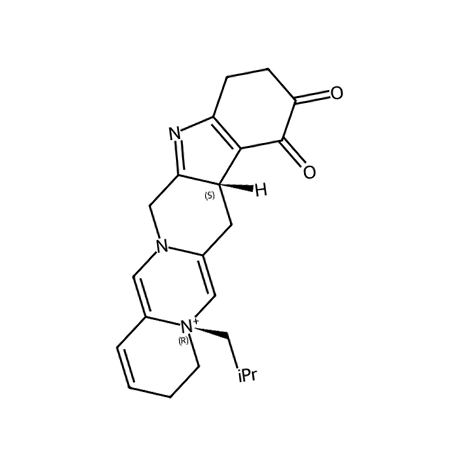 CC(C)C[N@+]12C=C3C[C@@H]4C(=NC5=C4C(=O)C(=O)CC5)CN3C=C1C=CCC2